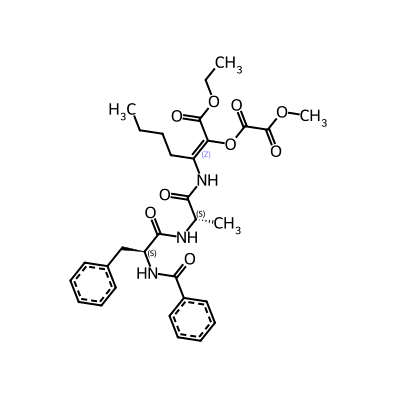 CCCC/C(NC(=O)[C@H](C)NC(=O)[C@H](Cc1ccccc1)NC(=O)c1ccccc1)=C(/OC(=O)C(=O)OC)C(=O)OCC